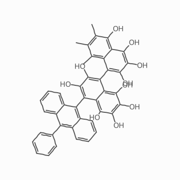 Cc1c(C)c(O)c2c(O)c(O)c(O)c(-c3c(O)c(O)c(-c4c5ccccc5c(-c5ccccc5)c5ccccc45)c4c(O)c(O)c(O)c(O)c34)c2c1C